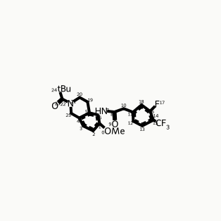 COc1ccc2c(c1NC(=O)Cc1ccc(C(F)(F)F)c(F)c1)CCN(C(=O)C(C)(C)C)C2